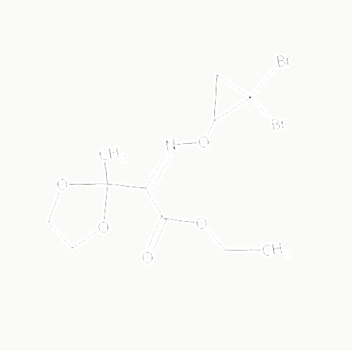 CCOC(=O)/C(=N\OC1CC1(Br)Br)C1(C)OCCO1